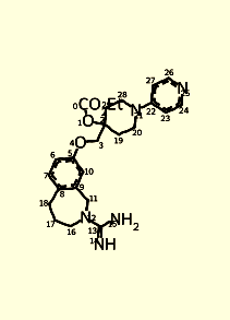 CCOC(=O)OC1(COc2ccc3c(c2)CN(C(=N)N)CCC3)CCN(c2ccncc2)CC1